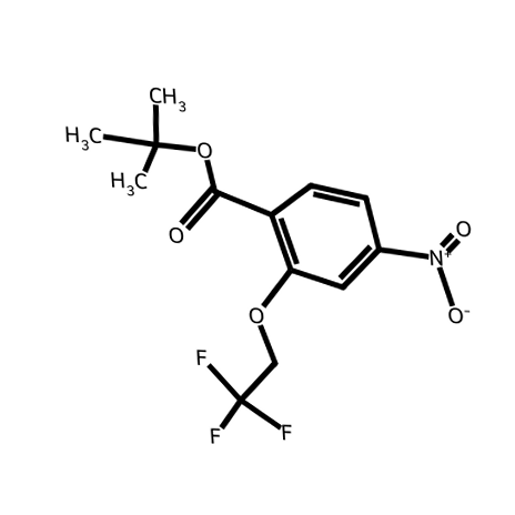 CC(C)(C)OC(=O)c1ccc([N+](=O)[O-])cc1OCC(F)(F)F